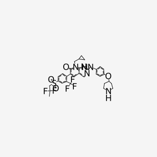 CC(F)(F)CS(=O)(=O)c1ccc(-c2cc3cnc(Nc4ccc(OC5CCNCC5)cc4)nc3n(CC3CC3)c2=O)c(C(F)(F)F)c1